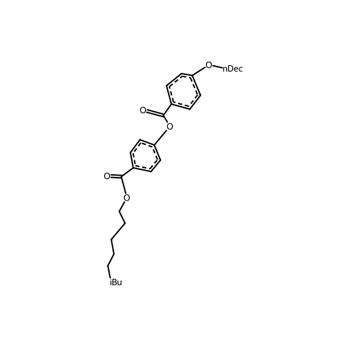 CCCCCCCCCCOc1ccc(C(=O)Oc2ccc(C(=O)OCCCCCC(C)CC)cc2)cc1